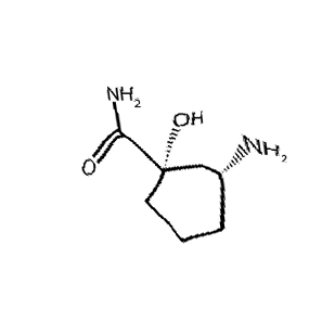 NC(=O)[C@]1(O)CCC[C@H]1N